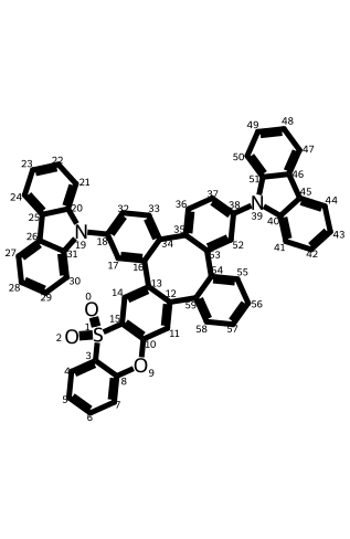 O=S1(=O)c2ccccc2Oc2cc3c(cc21)-c1cc(-n2c4ccccc4c4ccccc42)ccc1-c1ccc(-n2c4ccccc4c4ccccc42)cc1-c1ccccc1-3